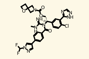 CNC(=N)N(C(=O)c1ccc(-c2cnn(C(F)F)c2)cc1)[C@H](COC(=O)N1CC2(CCO2)C1)c1ccc(Cl)c(-c2ncn[nH]2)c1